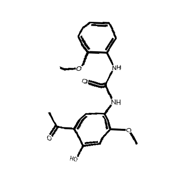 COc1ccccc1NC(=O)Nc1cc(C(C)=O)c(O)cc1OC